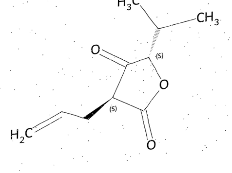 C=CC[C@@H]1C(=O)O[C@@H](C(C)C)C1=O